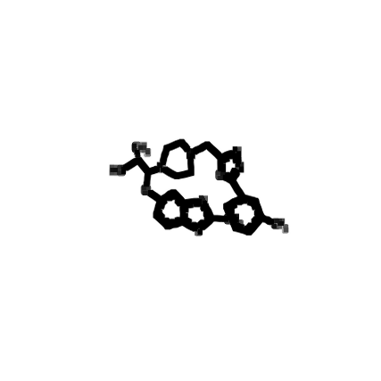 Cc1nc2cc(OC([C@@H](C)O)N3CCN(Cc4nnc(-c5cccc(C(F)(F)F)c5)o4)CC3)ccc2s1